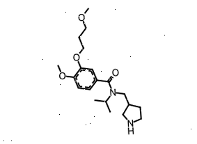 COCCCOc1cc(C(=O)N(CC2CCNC2)C(C)C)ccc1OC